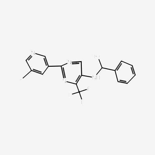 OC(Nc1cnc(-c2cncc(F)c2)nc1C(F)(F)F)c1ccccc1